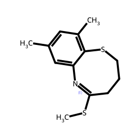 CS/C1=N/c2cc(C)cc(C)c2SCCC1